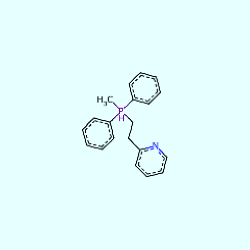 C[PH](CCc1ccccn1)(c1ccccc1)c1ccccc1